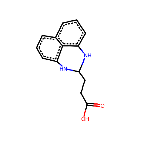 O=C(O)CCC1Nc2cccc3cccc(c23)N1